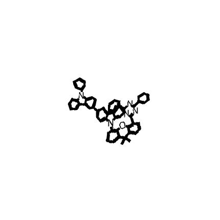 CC1(C)c2cccc(-c3nc(-c4ccccc4)nc(-c4ccccc4)n3)c2Oc2c(-n3c4ccccc4c4cc(-c5ccc6c(c5)c5ccccc5n6-c5ccccc5)ccc43)cccc21